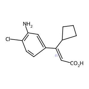 Nc1cc(/C(=C/C(=O)O)C2CCC2)ccc1Cl